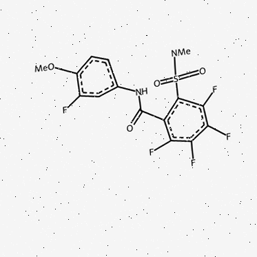 CNS(=O)(=O)c1c(F)c(F)c(F)c(F)c1C(=O)Nc1ccc(OC)c(F)c1